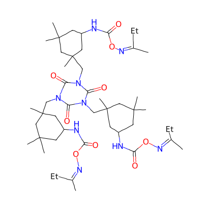 CC/C(C)=N\OC(=O)NC1CC(C)(C)CC(C)(Cn2c(=O)n(CC3(C)CC(NC(=O)O/N=C(/C)CC)CC(C)(C)C3)c(=O)n(CC3(C)CC(NC(=O)O/N=C(/C)CC)CC(C)(C)C3)c2=O)C1